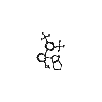 Cc1cccc(-c2cc(C(F)(F)F)cc(C(F)(F)F)c2)c1N1CSC2=C1CCCC2